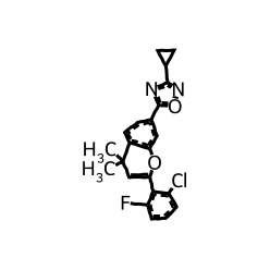 CC1(C)C=C(c2c(F)cccc2Cl)Oc2cc(-c3nc(C4CC4)no3)ccc21